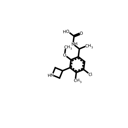 COc1c(C(C)NC(=O)O)cc(Cl)c(C)c1C1CNC1